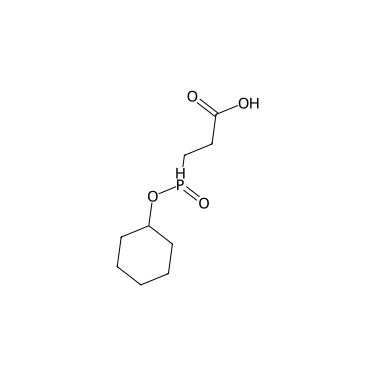 O=C(O)CC[PH](=O)OC1CCCCC1